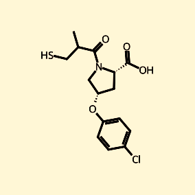 CC(CS)C(=O)N1C[C@@H](Oc2ccc(Cl)cc2)C[C@H]1C(=O)O